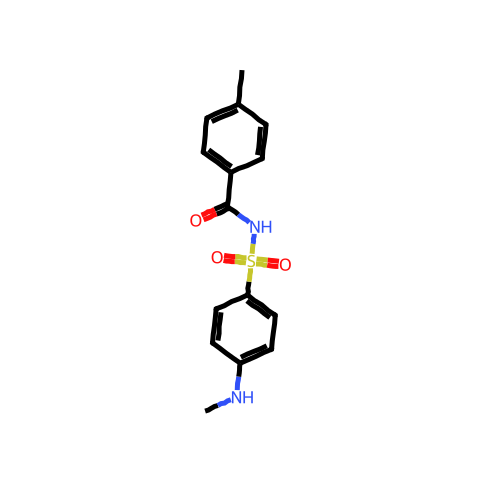 CNc1ccc(S(=O)(=O)NC(=O)c2ccc(C)cc2)cc1